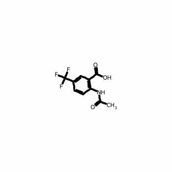 CC(=O)Nc1ccc(C(F)(F)F)cc1C(=O)O